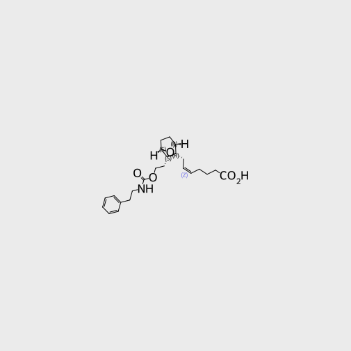 O=C(O)CCC/C=C\C[C@@H]1[C@H](CCOC(=O)NCCc2ccccc2)[C@@H]2CC[C@H]1O2